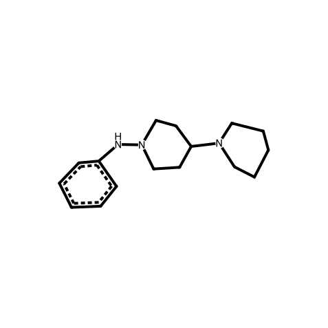 c1ccc(NN2CCC(N3CCCCC3)CC2)cc1